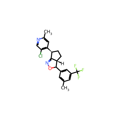 Cc1cc(C2ON=C3[C@@H](c4cc(C)ncc4Cl)CC[C@@H]32)cc(C(F)(F)F)c1